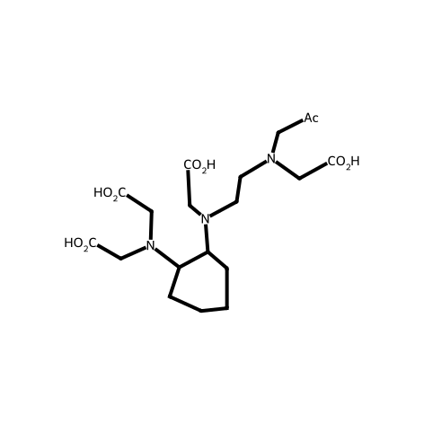 CC(=O)CN(CCN(CC(=O)O)C1CCCCC1N(CC(=O)O)CC(=O)O)CC(=O)O